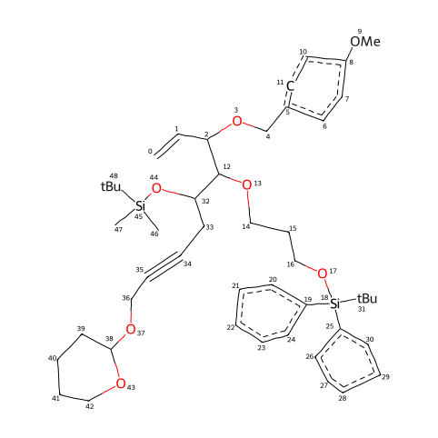 C=CC(OCc1ccc(OC)cc1)C(OCCCO[Si](c1ccccc1)(c1ccccc1)C(C)(C)C)C(CC#CCOC1CCCCO1)O[Si](C)(C)C(C)(C)C